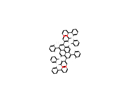 Cc1cccc(C)c1-c1cc2c3c(cc4c(-c5c(C)cccc5C)cc5c6c(cc1c3c46)B1c3ccccc3N(c3ccccc3-c3ccccc3)c3cccc-5c31)B1c3ccccc3N(c3ccccc3-c3ccccc3)c3cccc-2c31